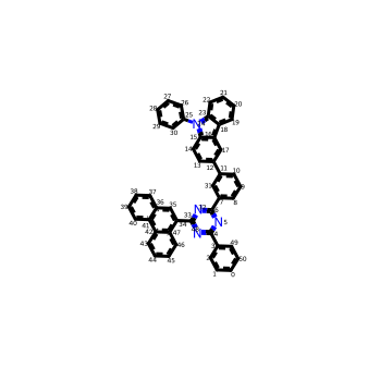 c1ccc(-c2nc(-c3cccc(-c4ccc5c(c4)c4ccccc4n5-c4ccccc4)c3)nc(-c3cc4ccccc4c4ccccc34)n2)cc1